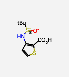 CC(C)(C)[S@@+]([O-])Nc1ccsc1C(=O)O